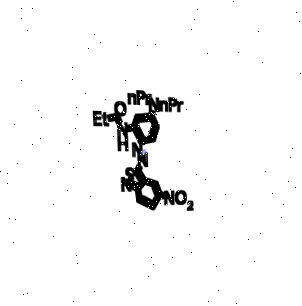 CCCN(CCC)c1ccc(/N=N/c2snc3ccc([N+](=O)[O-])cc23)c(NC(=O)CC)c1